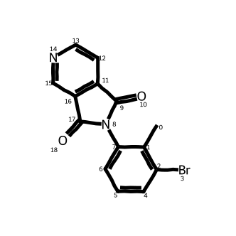 Cc1c(Br)cccc1N1C(=O)c2ccncc2C1=O